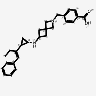 CCC(=Cc1ccccc1)C1C[C@@H]1NC1CC2(C1)CN(Cc1ccc(C(=O)O)cc1)C2